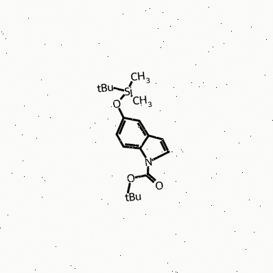 CC(C)(C)OC(=O)n1[c]cc2cc(O[Si](C)(C)C(C)(C)C)ccc21